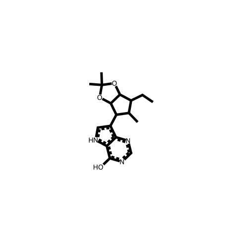 CCC1C(C)C(c2c[nH]c3c(O)ncnc23)C2OC(C)(C)OC12